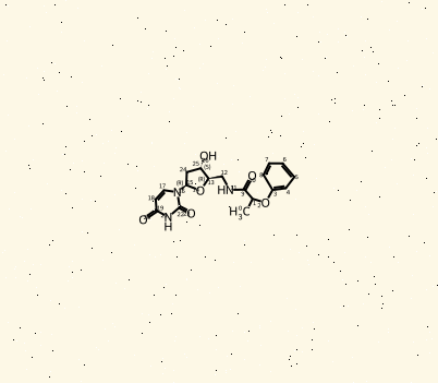 CC(Oc1ccccc1)C(=O)NC[C@H]1O[C@@H](n2ccc(=O)[nH]c2=O)C[C@@H]1O